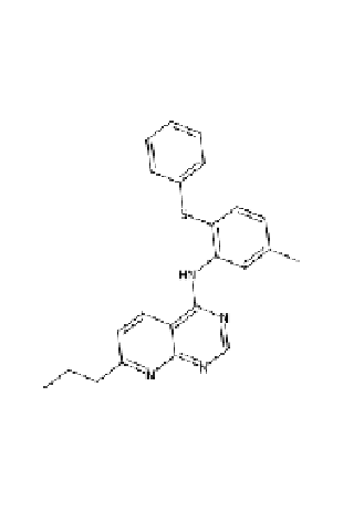 CCCc1ccc2c(Nc3cc(C)ccc3Sc3ccccc3)ncnc2n1